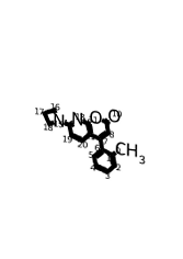 Cc1ccccc1-c1cc(=O)oc2nc(N3CCC3)ccc12